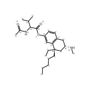 CCCCC[C@]1(CC)C[C@@H](NC)Cc2ccc(OC(=O)C(NC(C)=O)C(C)C)cc21